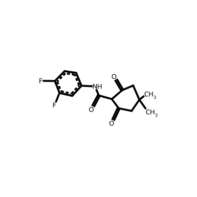 CC1(C)CC(=O)C(C(=O)Nc2ccc(F)c(F)c2)C(=O)C1